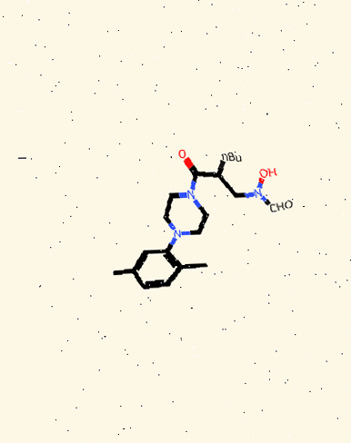 CCCCC(CN(O)C=O)C(=O)N1CCN(c2cc(C)ccc2C)CC1